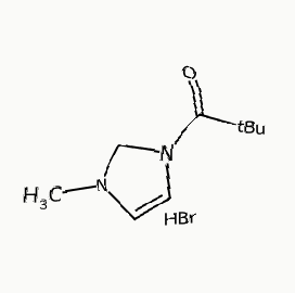 Br.CN1C=CN(C(=O)C(C)(C)C)C1